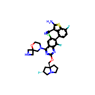 N#Cc1c(N)sc2c(F)ccc(-c3c(Cl)cc4c(N5CCOC6(CNC6)C5)nc(OC[C@@]56CCCN5C[C@H](F)C6)nc4c3F)c12